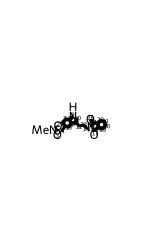 CNS(=O)(=O)Cc1ccc2[nH]cc(CCCN3C(=O)c4ccccc4C3=O)c2c1